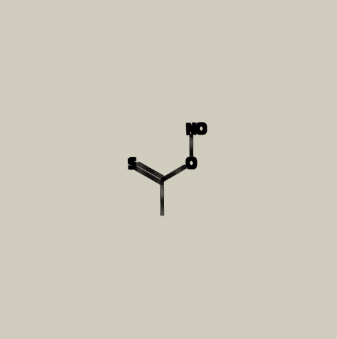 CC(=S)ON=O